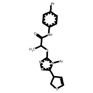 CC(=O)n1c(SC(C)C(=O)Nc2ccc(C(C)C)cc2)nnc1C1C=CSC1